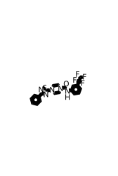 O=C(Nc1cccc(C(F)(F)C(F)F)c1)N1CCN(c2nc(-c3ccccc3)ns2)CC1